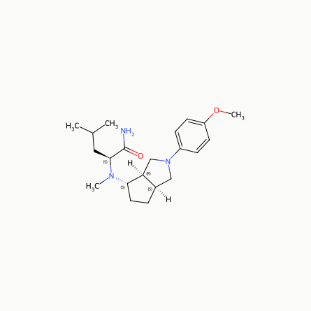 COc1ccc(N2C[C@H]3CC[C@H](N(C)[C@@H](CC(C)C)C(N)=O)[C@H]3C2)cc1